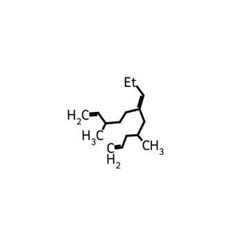 C=CCC(C)CC(=CCC)CCC(C)C=C